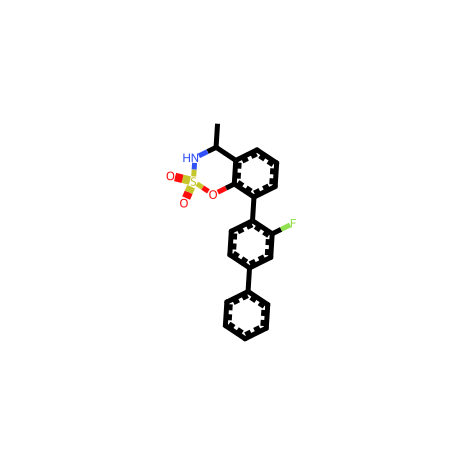 CC1NS(=O)(=O)Oc2c(-c3ccc(-c4ccccc4)cc3F)cccc21